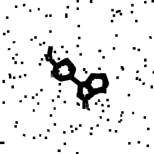 COc1ccc(-c2c[nH]c3ncccc23)cn1